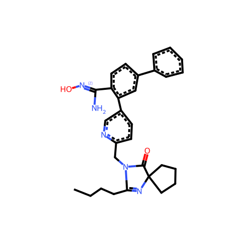 CCCCC1=NC2(CCCC2)C(=O)N1Cc1ccc(-c2cc(-c3ccccc3)ccc2/C(N)=N/O)cn1